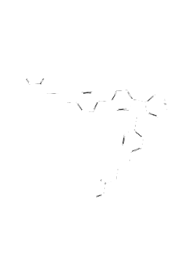 C=CC(=O)CCOc1ccc(-c2ccc3c(c2)C(c2ccc(OCCC(=O)C=C)cc2)c2ccccc2-3)cc1